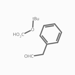 CC(C)(C)OC(=O)O.O=CCc1ccccc1